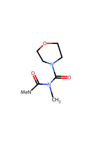 CNC(=O)N(C)C(=O)N1CCOCC1